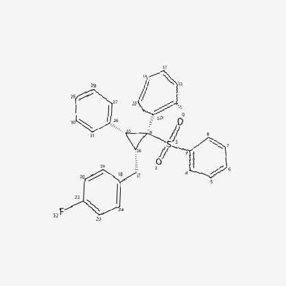 O=S(=O)(c1ccccc1)[C@@]1(c2ccccc2)[C@H](Cc2ccc(F)cc2)[C@@H]1c1ccccc1